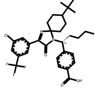 CCCC[C@H](c1ccc(C(=O)O)cc1)N1C(=O)C(c2cc(Cl)cc(C(F)(F)F)c2)=NC12CCC(C(C)(C)C)CC2